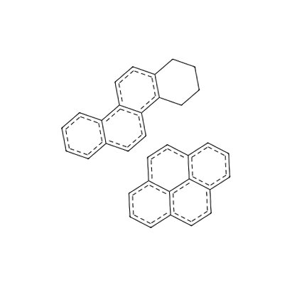 c1cc2ccc3cccc4ccc(c1)c2c34.c1ccc2c(c1)ccc1c3c(ccc12)CCCC3